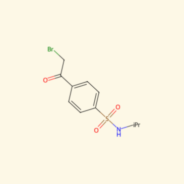 CC(C)NS(=O)(=O)c1ccc(C(=O)CBr)cc1